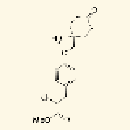 COC(=O)C(Cl)Cc1ccc(OCC2(C)CCC(=O)CC2)cc1